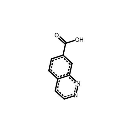 O=C(O)c1ccc2ccnnc2c1